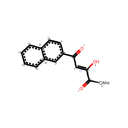 COC(=O)/C(O)=C/C(=O)c1ccc2ccccc2c1